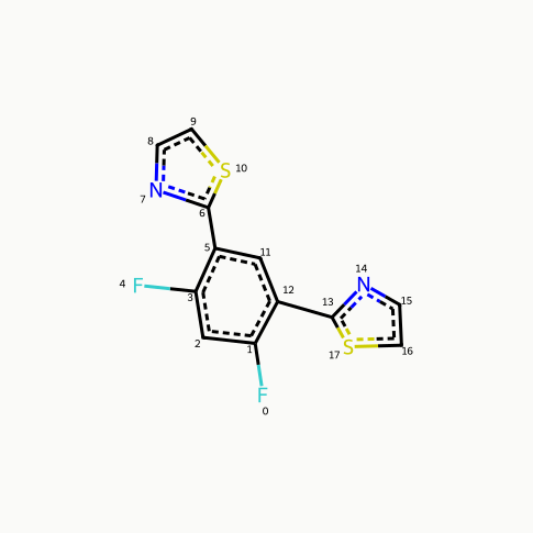 Fc1cc(F)c(-c2nccs2)cc1-c1nccs1